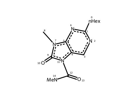 CCCCCCc1ncc2c(n1)n(C)c(=O)n2C(=O)NC